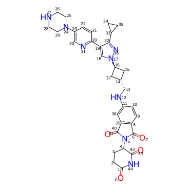 O=C1CCC(N2C(=O)c3ccc(NC[C@H]4C[C@H](n5cc(-c6ccc(N7CCNCC7)cn6)c(C6CC6)n5)C4)cc3C2=O)C(=O)N1